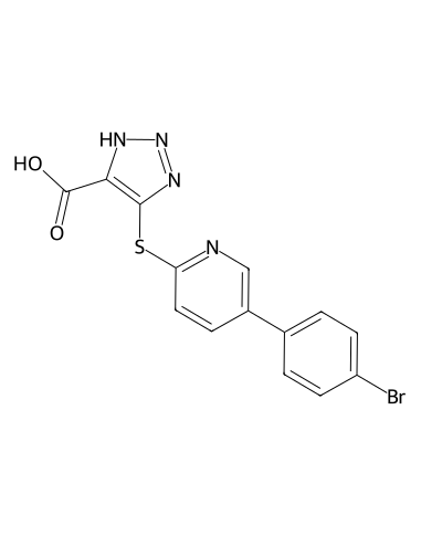 O=C(O)c1[nH]nnc1Sc1ccc(-c2ccc(Br)cc2)cn1